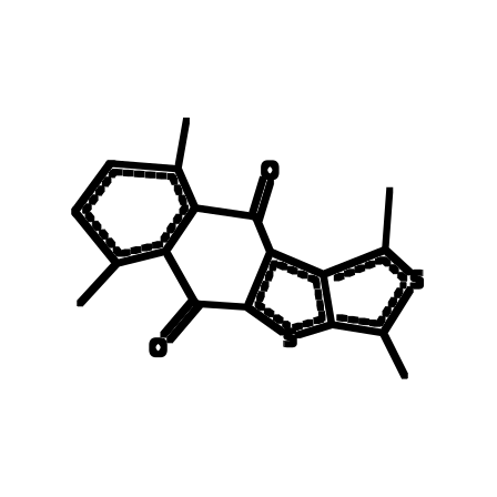 Cc1ccc(C)c2c1C(=O)c1sc3c(C)sc(C)c3c1C2=O